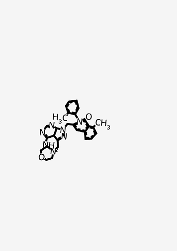 Cc1ccccc1-n1c(CN2N=C(CN3CCOCC3)C3C(N)=NC=NC32)cc2cccc(C)c2c1=O